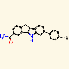 CCCCc1ccc(-c2ccc3c4c([nH]c3c2)-c2cc(C(N)=O)ccc2C4)cc1